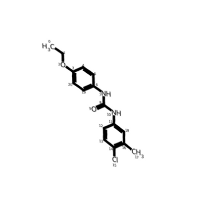 CCOc1ccc(NC(=O)Nc2ccc(Cl)c(C)c2)cc1